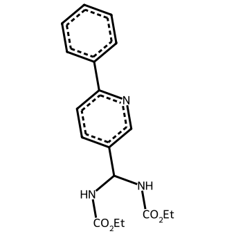 CCOC(=O)NC(NC(=O)OCC)c1ccc(-c2ccccc2)nc1